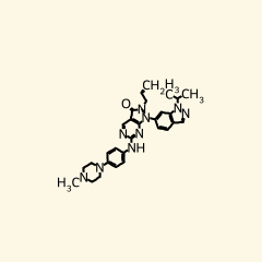 C=CCn1c(=O)c2cnc(Nc3ccc(N4CCN(C)CC4)cc3)nc2n1-c1ccc2cnn(C(C)C)c2c1